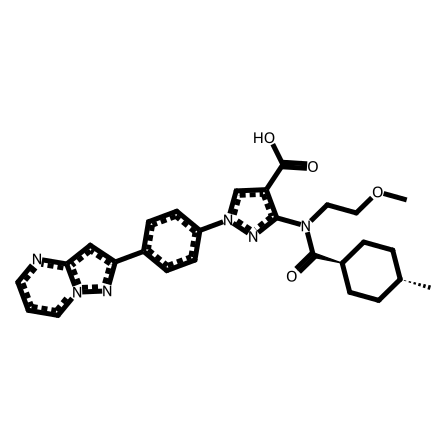 COCCN(c1nn(-c2ccc(-c3cc4ncccn4n3)cc2)cc1C(=O)O)C(=O)[C@H]1CC[C@H](C)CC1